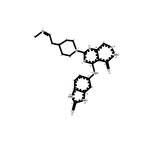 C/N=C\CC1CCN(c2nc(Nc3ccc4[nH]c(=O)[nH]c4c3)c3c(=O)[nH]ncc3n2)CC1